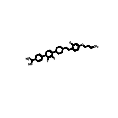 C=CCCOc1ccc(CCC2CCC(C3=CCC(C4=CCC(C(C)O)C=C4)C(F)=C3F)CC2)c(F)c1